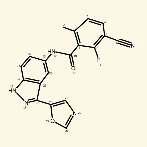 Cc1ccc(C#N)c(F)c1C(=O)Nc1ccc2[nH]nc(-c3cnco3)c2c1